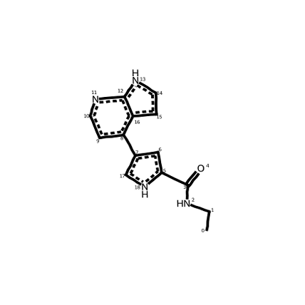 CCNC(=O)c1cc(-c2ccnc3[nH]ccc23)c[nH]1